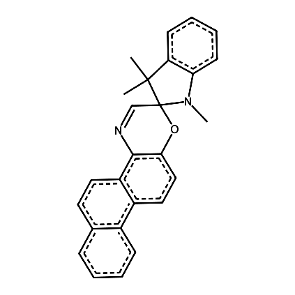 CN1c2ccccc2C(C)(C)C12C=Nc1c(ccc3c1ccc1ccccc13)O2